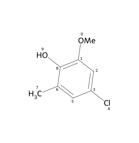 COc1cc(Cl)cc(C)c1O